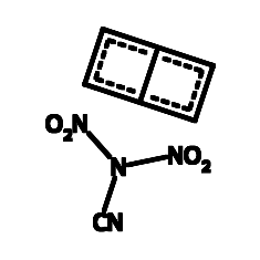 N#CN([N+](=O)[O-])[N+](=O)[O-].c1cc2ccc1-2